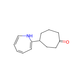 O=C1CCCC(C2=CC=CC=CN2)CC1